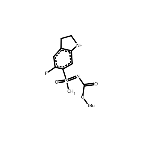 CC(C)(C)OC(=O)N=S(C)(=O)c1cc2c(cc1F)CCN2